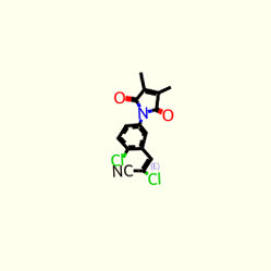 CC1=C(C)C(=O)N(c2ccc(Cl)c(/C=C(/Cl)C#N)c2)C1=O